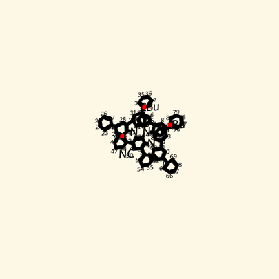 CC(C)(C)c1ccc2c(c1)c1cc(C(C)(C)C)ccc1n2-c1c(-n2c3ccc(-c4ccccc4)cc3c3cc(-c4ccccc4)ccc32)c(-c2ccccc2)c(C#N)c(-c2ccccc2)c1-n1c2ccc(-c3ccccc3)cc2c2cc(-c3ccccc3)ccc21